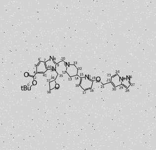 CC(C)(C)OC(=O)c1ccc2nc(CN3CCC(c4cccc(OCc5ccn6nccc6c5)n4)CC3)n(CC3CCO3)c2c1